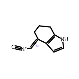 [C-]#[N+]/C=C1\CCCc2[nH]ccc21